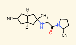 C[C@@]1(NCC(=O)N2CCC[C@H]2C#N)C[C@H]2CC(C#N)C[C@H]2C1